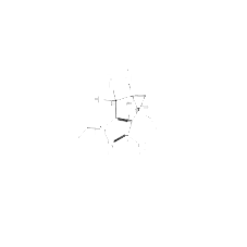 CCn1nc(Cl)c2c1C(F)(F)[C@@H]1C[C@H]21